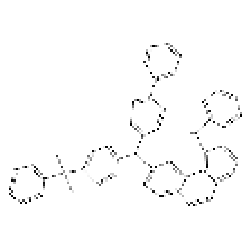 CC(C)(c1ccccc1)c1ccc(N(c2ccc(-c3ccccc3)cc2)c2ccc3ccc4ccc5c6ccccc6[se]c5c4c3c2)cc1